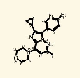 CCc1ccc(-c2c(C3CC3)nc3c(N4CCOCC4)cc(C)nn23)cn1